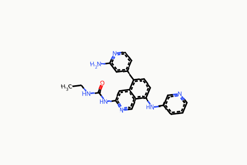 CCNC(=O)Nc1cc2c(-c3ccnc(N)c3)ccc(Nc3cccnc3)c2cn1